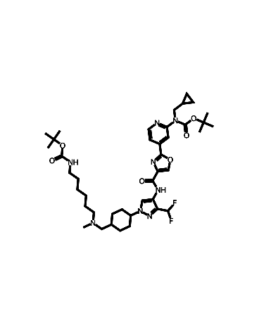 CN(CCCCCCNC(=O)OC(C)(C)C)CC1CCC(n2cc(NC(=O)c3coc(-c4ccnc(N(CC5CC5)C(=O)OC(C)(C)C)c4)n3)c(C(F)F)n2)CC1